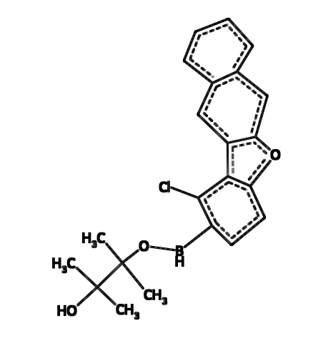 CC(C)(O)C(C)(C)OBc1ccc2oc3cc4ccccc4cc3c2c1Cl